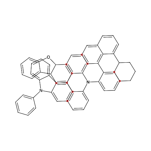 C1=CC2Oc3ccccc3C2C=C1c1ccccc1N(c1ccccc1-c1cccc2cccc(C3CCCCC3)c12)c1ccccc1-c1cccc2c1c1ccccc1n2-c1ccccc1